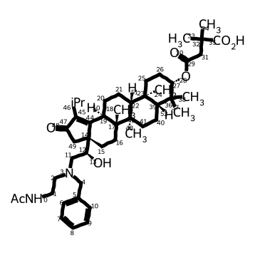 CC(=O)NCCN(Cc1ccccc1)C[C@H](O)[C@@]12CC[C@]3(C)[C@H](CC[C@@H]4[C@@]5(C)CC[C@H](OC(=O)CC(C)(C)C(=O)O)C(C)(C)[C@@H]5CC[C@]43C)C1=C(C(C)C)C(=O)C2